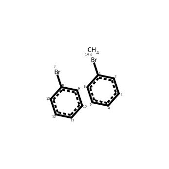 Brc1ccccc1.Brc1ccccc1.C